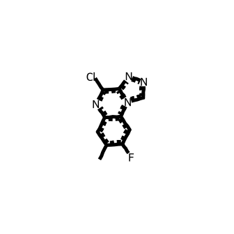 Cc1cc2nc(Cl)c3nncn3c2cc1F